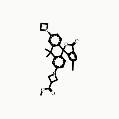 COC(=O)C1CN(c2ccc3c(c2)C(C)(C)c2cc(N4CCC4)ccc2C32OC(=O)c3ccc(C)cc32)C1